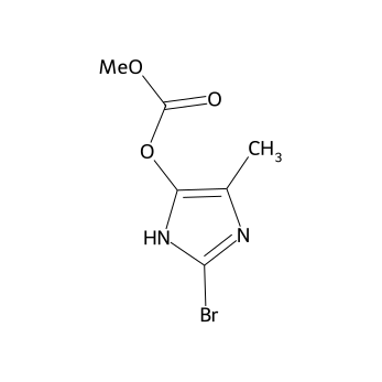 COC(=O)Oc1[nH]c(Br)nc1C